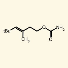 C/C(=C\C(C)(C)C)CCOC(N)=O